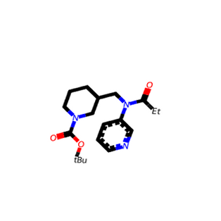 CCC(=O)N(CC1CCCN(C(=O)OC(C)(C)C)C1)c1cccnc1